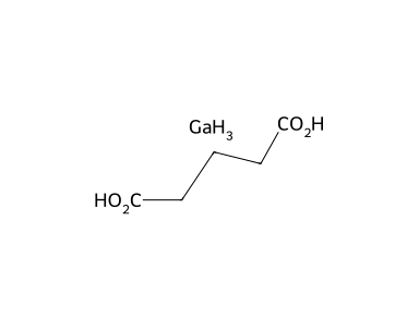 O=C(O)CCCC(=O)O.[GaH3]